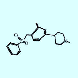 Cc1cc(C2CCN(C)CC2)ccc1CS(=O)(=O)c1ccccc1